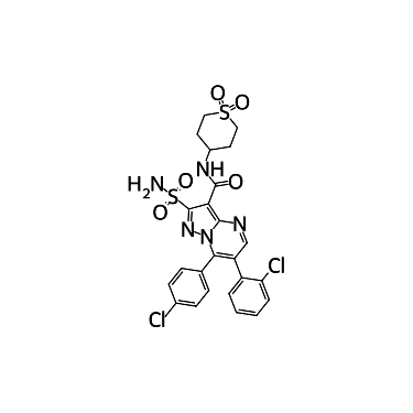 NS(=O)(=O)c1nn2c(-c3ccc(Cl)cc3)c(-c3ccccc3Cl)cnc2c1C(=O)NC1CCS(=O)(=O)CC1